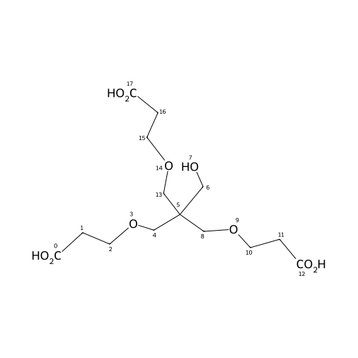 O=C(O)CCOCC(CO)(COCCC(=O)O)COCCC(=O)O